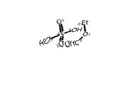 CCOC=O.O=S(=O)(O)O